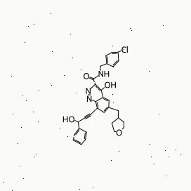 O=C(NCc1ccc(Cl)cc1)c1nnc2c(C#CC(O)c3ccccc3)cc(CC3CCOCC3)cc2c1O